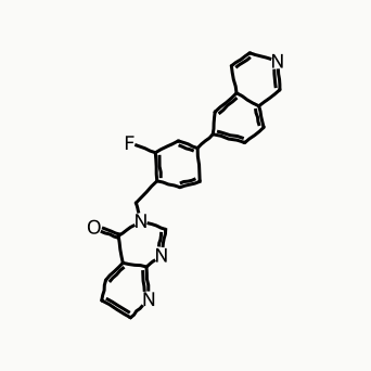 O=c1c2cccnc2ncn1Cc1ccc(-c2ccc3cnccc3c2)cc1F